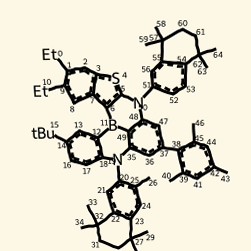 CCc1cc2sc3c(c2cc1CC)B1c2cc(C(C)(C)C)ccc2N(c2cc4c(cc2C)C(C)(C)CCC4(C)C)c2cc(-c4c(C)cc(C)cc4C)cc(c21)N3c1ccc2c(c1)C(C)(C)CCC2(C)C